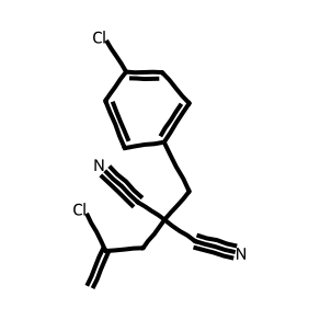 C=C(Cl)CC(C#N)(C#N)Cc1ccc(Cl)cc1